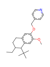 CCC1CCc2cc(OCc3ccncc3)c(OC)cc2C1C(C)(C)C